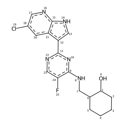 OC1CCCCC1CNc1nc(-c2c[nH]c3ncc(Cl)cc23)ncc1F